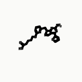 Nc1nc(-c2ccco2)c2cnn(Cc3cccc(OCCCCC(=O)O)n3)c2n1